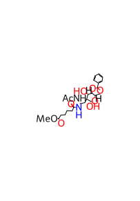 COC(=O)CCCCC(=O)NCC[C@]1(NC(C)=O)[C@@H](O)O[C@@H]2COC(c3ccccc3)O[C@@H]2[C@@H]1O